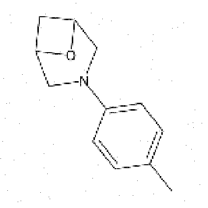 Cc1ccc(N2CC3CC(C2)O3)cc1